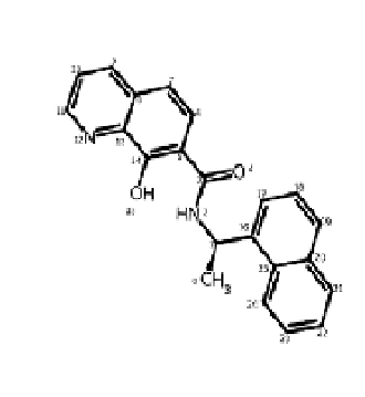 C[C@@H](NC(=O)c1ccc2cccnc2c1O)c1cccc2ccccc12